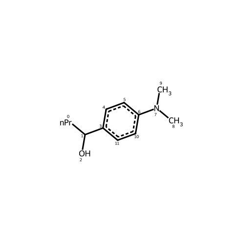 CCCC(O)c1ccc(N(C)C)cc1